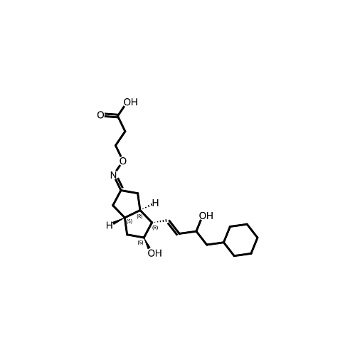 O=C(O)CCON=C1C[C@H]2C[C@H](O)[C@@H](C=CC(O)CC3CCCCC3)[C@@H]2C1